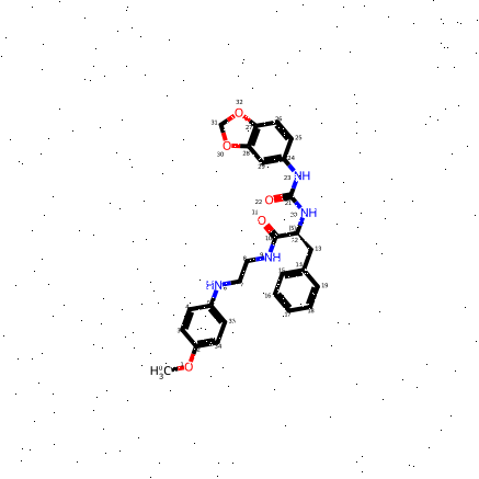 COc1ccc(NCCNC(=O)[C@H](Cc2ccccc2)NC(=O)Nc2ccc3c(c2)OCO3)cc1